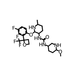 COC1CCC(NC(=O)NC2CCC(C)NC2Oc2ccc(F)cc2C2(C(F)(F)F)CCO2)CN1